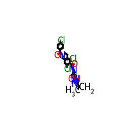 C=C(C)C1CN(C[C@@H](CO)N=NC(=O)C2C(Cl)CC3=C(CCN(C(=O)C4=CC[C@H](Cl)CC4)C3)[C@H]2Cl)N=N1